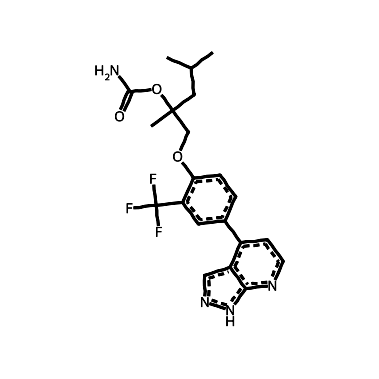 CC(C)CC(C)(COc1ccc(-c2ccnc3[nH]ncc23)cc1C(F)(F)F)OC(N)=O